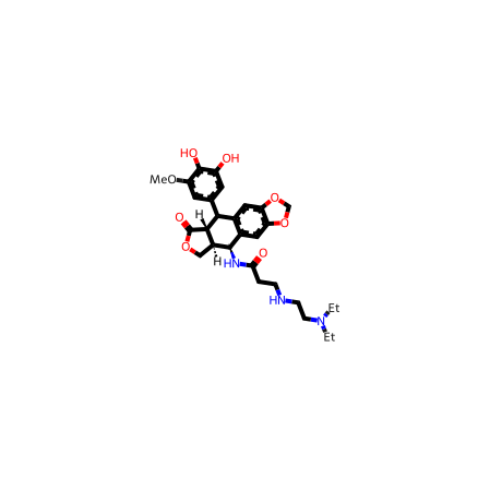 CCN(CC)CCNCCC(=O)N[C@@H]1c2cc3c(cc2C(c2cc(O)c(O)c(OC)c2)[C@H]2C(=O)OC[C@H]12)OCO3